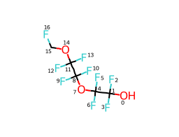 OC(F)(F)C(F)(F)OC(F)(F)C(F)(F)OCF